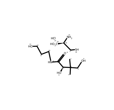 CC(C)(CO)[C@@H](O)C(=O)NCCCO.Cl.N[C@@H](CS)C(=O)O